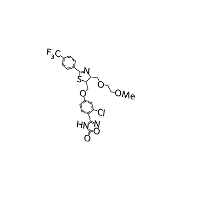 COCCOCC1N=C(c2ccc(C(F)(F)F)cc2)SC1COc1ccc(-c2noc(=O)[nH]2)c(Cl)c1